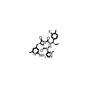 CC[C@@H](NC(=O)N1C(=O)[C@H](Cc2cc(C)nc(N)c2)[C@H]1C(=O)N(C)c1ccnn1C)c1ccc(C)c(F)c1